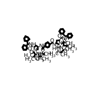 CN[C@@H](C)C(=O)NC(C(=O)N1C[C@@H](NC(=O)c2ccc(C(=O)N[C@H]3C[C@@H](C(=O)NC(c4ccccc4)c4ccccc4)N(C(=O)[C@@H](NC(=O)[C@H](C)NC)C(C)(C)C)C3)cc2)C[C@H]1C(=O)NC(c1ccccc1)c1ccccc1)C(C)(C)C